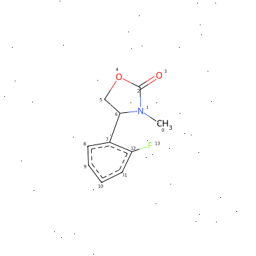 CN1C(=O)OCC1c1ccccc1F